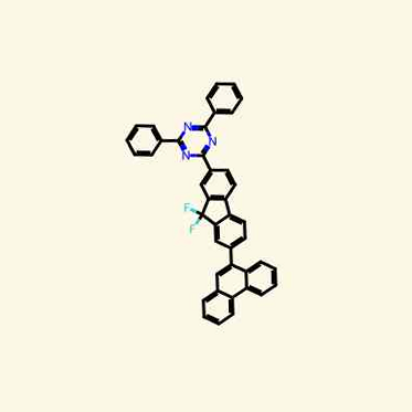 FC1(F)c2cc(-c3nc(-c4ccccc4)nc(-c4ccccc4)n3)ccc2-c2ccc(-c3cc4ccccc4c4ccccc34)cc21